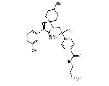 CC(C)(CN1C(=O)C(c2cccc(C(F)(F)F)c2)=NC12CCC(C(C)(C)C)CC2)c1ccc(C(=O)NCCC(=O)O)cc1